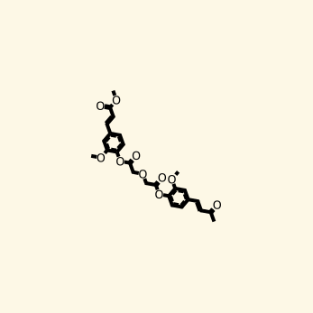 COC(=O)/C=C/c1ccc(OC(=O)COCC(=O)Oc2ccc(/C=C/C(C)=O)cc2OC)c(OC)c1